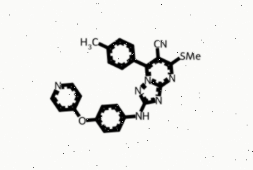 CSc1nc2nc(Nc3ccc(Oc4ccncc4)cc3)nn2c(-c2ccc(C)cc2)c1C#N